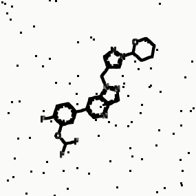 Fc1ccc(-c2cnc3cnn(Cc4cnn(C5CCCCO5)c4)c3c2)cc1OC(F)F